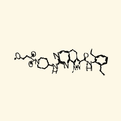 CCc1cccc(CC)c1NC(=O)c1nn(C)c2c1CCc1cnc(NC3CCN(S(=O)(=O)CCOC)CC3)nc1-2